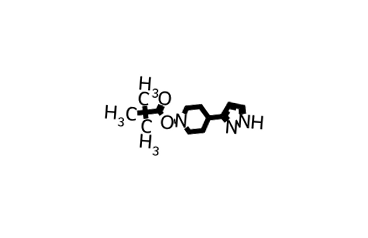 CC(C)(C)C(=O)ON1CCC(c2cc[nH]n2)CC1